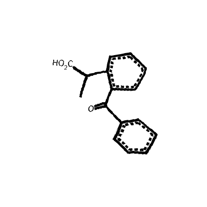 CC(C(=O)O)c1ccccc1C(=O)c1ccccc1